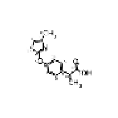 Cc1csc(Oc2ccc(C(C)C(=O)O)cc2)n1